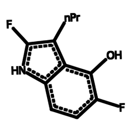 CCCc1c(F)[nH]c2ccc(F)c(O)c12